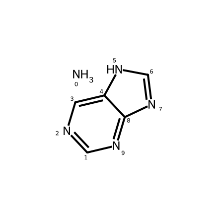 N.c1ncc2[nH]cnc2n1